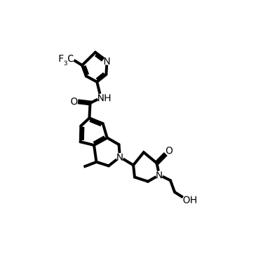 CC1CN(C2CCN(CCO)C(=O)C2)Cc2cc(C(=O)Nc3cncc(C(F)(F)F)c3)ccc21